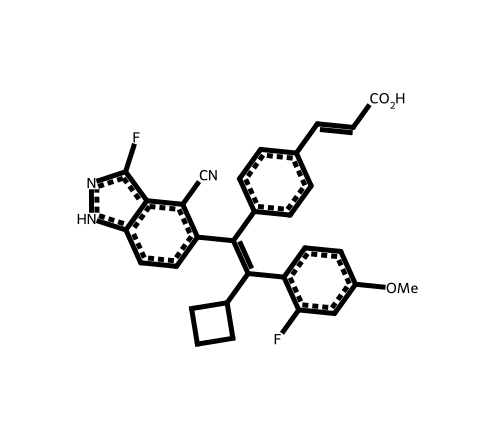 COc1ccc(C(=C(c2ccc(C=CC(=O)O)cc2)c2ccc3[nH]nc(F)c3c2C#N)C2CCC2)c(F)c1